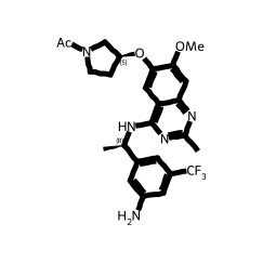 COc1cc2nc(C)nc(N[C@H](C)c3cc(N)cc(C(F)(F)F)c3)c2cc1O[C@H]1CCN(C(C)=O)C1